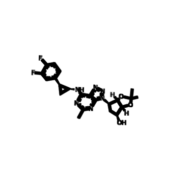 Cc1nc(N[C@@H]2C[C@H]2c2ccc(F)c(F)c2)c2nnn([C@@H]3C[C@H](O)[C@H]4OC(C)(C)O[C@H]43)c2n1